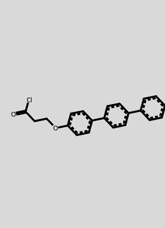 O=C(Cl)CCOc1ccc(-c2ccc(-c3ccccc3)cc2)cc1